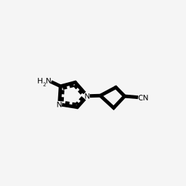 N#CC1CC(n2cnc(N)c2)C1